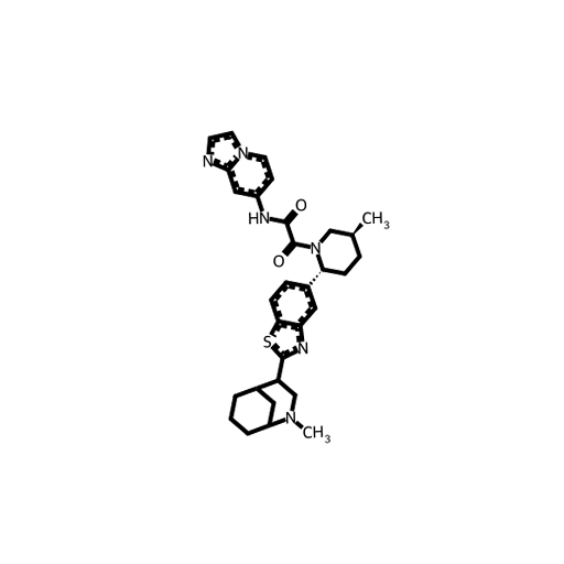 C[C@H]1CC[C@H](c2ccc3sc(C4CN(C)C5CCCC4C5)nc3c2)N(C(=O)C(=O)Nc2ccn3ccnc3c2)C1